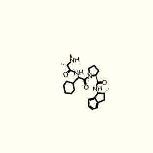 CN[C@@H](C)C(=O)N[C@H](C(=O)N1CCC[C@H]1C(=O)N[C@H]1c2ccccc2C[C@H]1C)C1CCCCC1